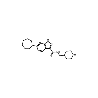 O=C(NCC1CCNCC1)c1n[nH]c2nc(N3CCCCCC3)ccc12